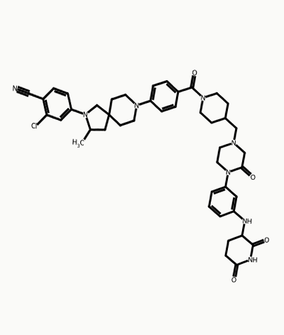 CC1CC2(CCN(c3ccc(C(=O)N4CCC(CN5CCN(c6cccc(NC7CCC(=O)NC7=O)c6)C(=O)C5)CC4)cc3)CC2)CN1c1ccc(C#N)c(Cl)c1